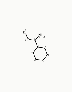 CCOC(N)C1CCCCC1